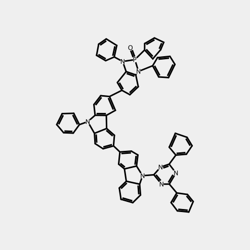 O=P1(c2ccccc2)N(c2ccccc2)c2ccc(-c3ccc4c(c3)c3cc(-c5ccc6c(c5)c5ccccc5n6-c5nc(-c6ccccc6)nc(-c6ccccc6)n5)ccc3n4-c3ccccc3)cc2N1c1ccccc1